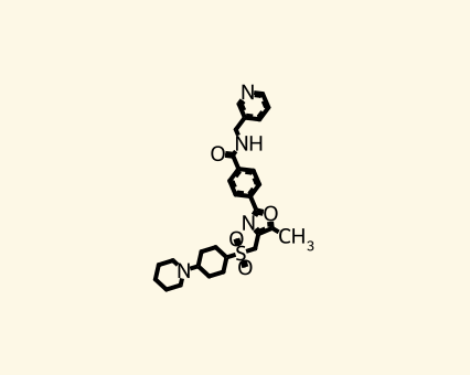 Cc1oc(-c2ccc(C(=O)NCc3cccnc3)cc2)nc1CS(=O)(=O)C1CCC(N2CCCCC2)CC1